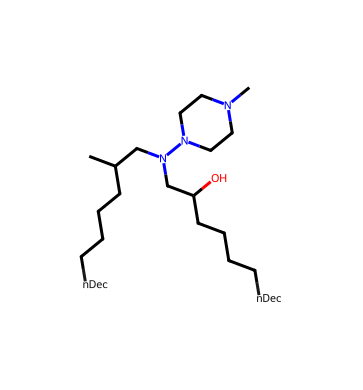 CCCCCCCCCCCCCCC(C)CN(CC(O)CCCCCCCCCCCCCC)N1CCN(C)CC1